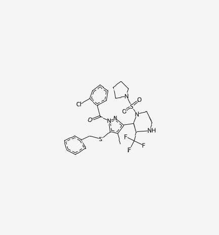 Cc1c(C2C(C(F)(F)F)NCCN2S(=O)(=O)N2CCCC2)nn(C(=O)c2ccccc2Cl)c1SCc1ccccc1